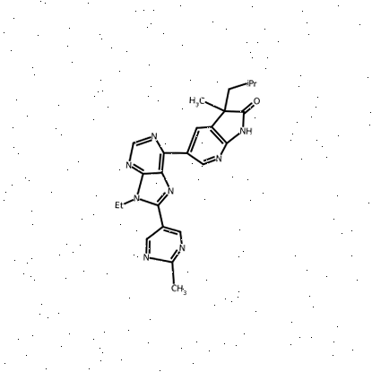 CCn1c(-c2cnc(C)nc2)nc2c(-c3cnc4c(c3)C(C)(CC(C)C)C(=O)N4)ncnc21